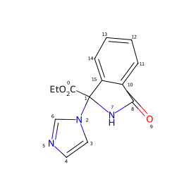 CCOC(=O)C1(n2ccnc2)NC(=O)c2ccccc21